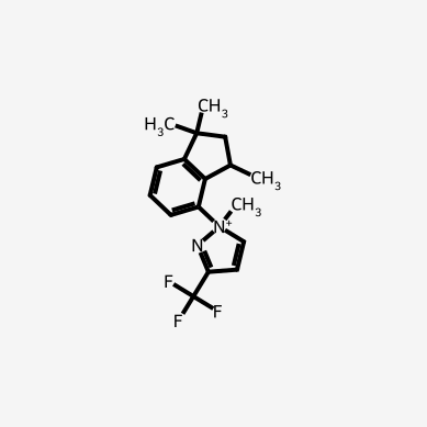 CC1CC(C)(C)c2cccc([N+]3(C)C=CC(C(F)(F)F)=N3)c21